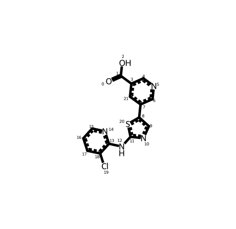 O=C(O)c1cncc(-c2cnc(Nc3ncccc3Cl)s2)c1